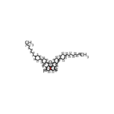 CCCCCCCCC1CCC(C2CCC(C(OC(c3cccc(F)c3F)C3CCC(C4CCC(CCCCCCCC)CC4)CC3)c3cccc(F)c3F)CC2)CC1